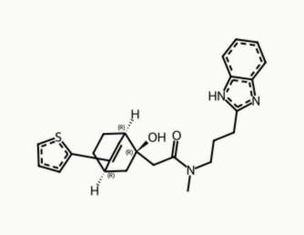 CN(CCCc1nc2ccccc2[nH]1)C(=O)C[C@]1(O)C[C@H]2CC[C@@H]1C=C2c1cccs1